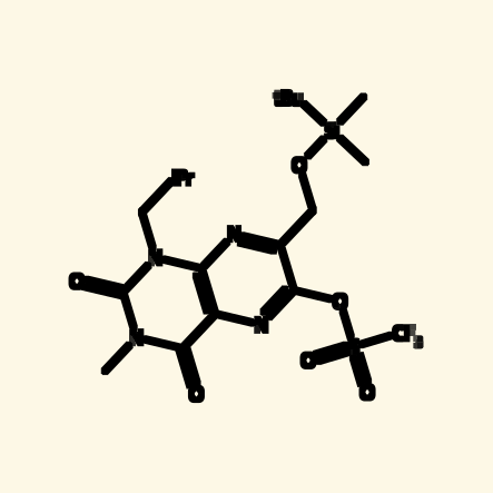 CC(C)Cn1c(=O)n(C)c(=O)c2nc(OS(=O)(=O)C(F)(F)F)c(CO[Si](C)(C)C(C)(C)C)nc21